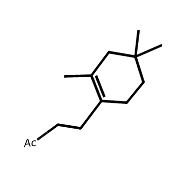 CC(=O)CCC1=C(C)CC(C)(C)CC1